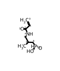 C=CC(=O)NCC(C)C[PH](=O)O